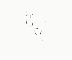 Br.Br.CC1=NC2=CCC(c3ccc(OCCN)cc3)=CN2C1=O